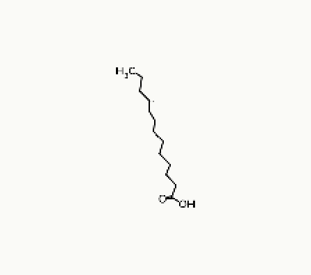 CCC[CH]CCCCCCCCC(=O)O